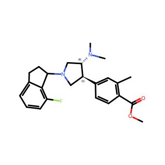 COC(=O)c1ccc([C@H]2CN(C3CCc4cccc(F)c43)C[C@@H]2N(C)C)cc1C